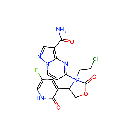 NC(=O)c1cnn2ccc([N+]3(CCCl)C(=O)OCC3c3cc(F)c[nH]c3=O)nc12